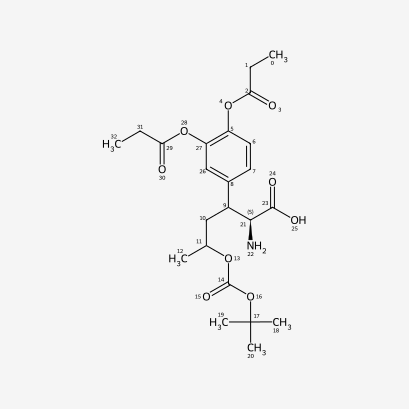 CCC(=O)Oc1ccc(C(CC(C)OC(=O)OC(C)(C)C)[C@H](N)C(=O)O)cc1OC(=O)CC